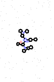 c1ccc(-c2ccc(C3N=C(c4ccc5c6ccccc6n(-c6ccccc6)c5c4)N=C(c4cc(-n5c6ccccc6c6cc7ccccc7cc65)cc5c4oc4ccccc45)N3)cc2)cc1